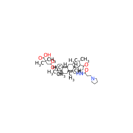 CC(C)C1=C2[C@H]3CC[C@@H]4[C@@]5(C)CC[C@H](OC(=O)CC(C)(C)C(=O)O)C(C)(C)[C@@H]5CC[C@@]4(C)[C@]3(C)CC[C@@]2(NC(=O)CCN2CCCC2)CC1=O